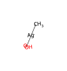 CCCCCCCCCCCCCCCCCCCCCCCCC(=O)O.[Ag]